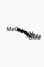 COc1ccc(N2CCN(c3ccc(NC(=S)NCC(OC)OC)cc3)CC2)cc1